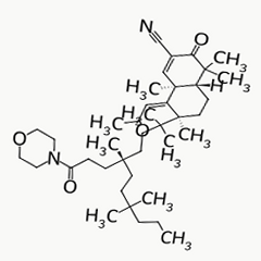 CCCC(C)(C)CC[C@](C)(CCC(=O)N1CCOCC1)CCC(C)(C)[C@]1(C)CC[C@H]2C(C)(C)C(=O)C(C#N)=C[C@]2(C)/C1=C/C(C)=O